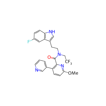 COc1ccc(-c2cccnc2)c(C(=O)N(CCc2c[nH]c3ccc(F)cc23)CC(F)(F)F)n1